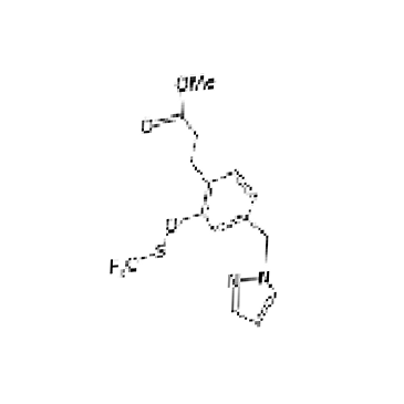 COC(=O)CCc1ccc(Cn2cccn2)cc1OSC(F)(F)F